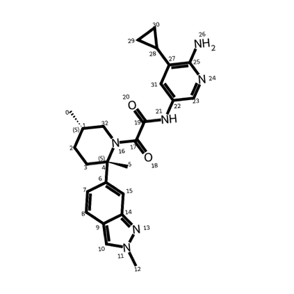 C[C@H]1CC[C@@](C)(c2ccc3cn(C)nc3c2)N(C(=O)C(=O)Nc2cnc(N)c(C3CC3)c2)C1